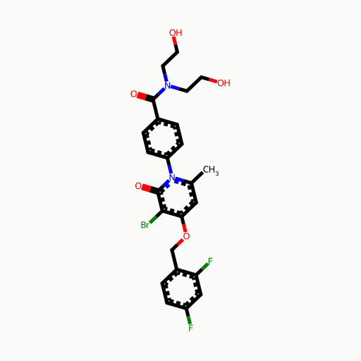 Cc1cc(OCc2ccc(F)cc2F)c(Br)c(=O)n1-c1ccc(C(=O)N(CCO)CCO)cc1